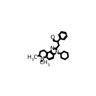 CC1CCc2c(ccc3c2nc(CC(C=O)c2ccccc2)n3C2CCCCC2)N1C